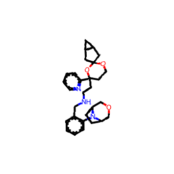 c1ccc(C2(CCNCc3ccccc3N3C4CCC3COC4)CCOC3(CC4CC4C3)O2)nc1